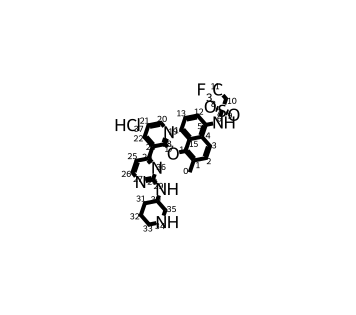 Cc1ccc2c(NS(=O)(=O)CC(F)(F)F)cccc2c1Oc1ncccc1-c1ccnc(NC2CCCNC2)n1.Cl